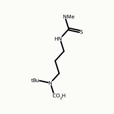 CNC(=S)NCCCN(C(=O)O)C(C)(C)C